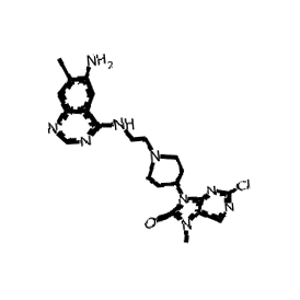 Cc1cc2ncnc(NCCN3CCC(n4c(=O)n(C)c5cnc(Cl)nc54)CC3)c2cc1N